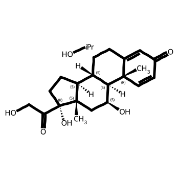 CC(C)O.C[C@]12C=CC(=O)C=C1CC[C@@H]1[C@@H]2[C@@H](O)C[C@@]2(C)[C@H]1CC[C@]2(O)C(=O)CO